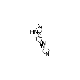 C[C@H]1CC[C@H](c2ccc3cn(C4CCN(C)CC4)nc3c2)NC1